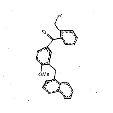 COc1ccc(C(=O)c2ccccc2CC(C)C)cc1Cc1cccc2ccccc12